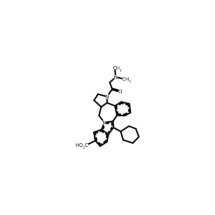 CN(C)CC(=O)N1CCC2Cn3c(c(C4CCCCC4)c4ccc(C(=O)O)cc43)-c3ccccc3C21